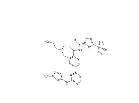 Cn1cc(Nc2nccc(-c3ccc4c(c3)CN(CCO)CCC4NC(=O)c3nnc(C(C)(C)C)o3)n2)cn1